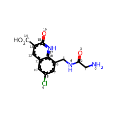 NCC(=O)NCc1cc(Cl)cc2cc(C(=O)O)c(=O)[nH]c12